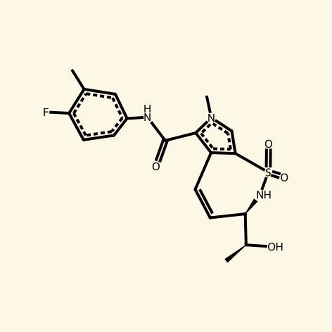 Cc1cc(NC(=O)c2c3c(cn2C)S(=O)(=O)N[C@@H]([C@H](C)O)C=C3)ccc1F